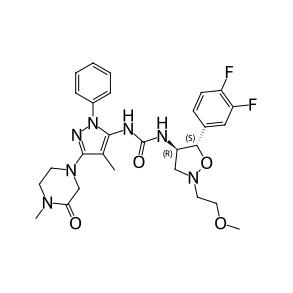 COCCN1C[C@@H](NC(=O)Nc2c(C)c(N3CCN(C)C(=O)C3)nn2-c2ccccc2)[C@H](c2ccc(F)c(F)c2)O1